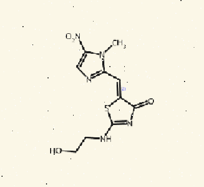 Cn1c([N+](=O)[O-])cnc1/C=C1\SC(NCCO)=NC1=O